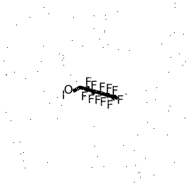 FC(F)(F)C(F)(F)C(F)(F)C(F)(F)C(F)(F)CCOI